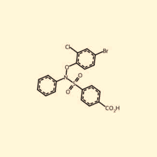 O=C(O)c1ccc(S(=O)(=O)N(Oc2ccc(Br)cc2Cl)c2ccccc2)cc1